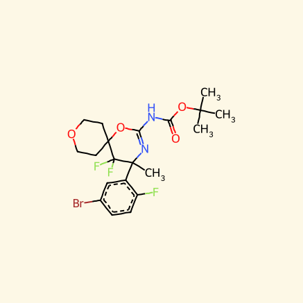 CC(C)(C)OC(=O)NC1=NC(C)(c2cc(Br)ccc2F)C(F)(F)C2(CCOCC2)O1